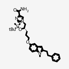 Cn1c(CCc2ccccc2)cc2cc(OCCC[C@@H](Cn3cnc(C(N)=O)c3)O[Si](C)(C)C(C)(C)C)ccc21